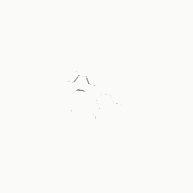 CCC[C@@H](CCNC)Oc1ccc(F)c(Cl)c1.Cl